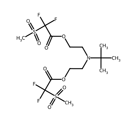 CC(C)(C)N(CCOC(=O)C(F)(F)S(C)(=O)=O)CCOC(=O)C(F)(F)S(C)(=O)=O